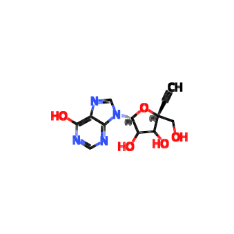 C#C[C@]1(CO)O[C@@H](n2cnc3c(O)ncnc32)C(O)C1O